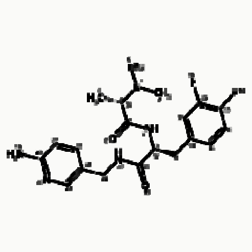 CCCCN(C)[C@@H](C)C(=O)N[C@@H](Cc1ccc(F)c(F)c1)C(=O)NCc1ccc(N)nc1